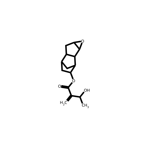 C=C(C(=O)OC1CC2CC1C1C2CC2OC21)C(C)O